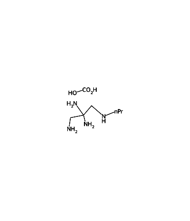 CCCNCC(N)(N)CN.O=C(O)O